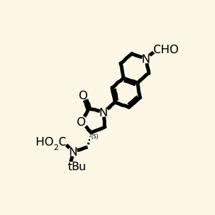 CC(C)(C)N(C[C@H]1CN(c2ccc3c(c2)CCN(C=O)C3)C(=O)O1)C(=O)O